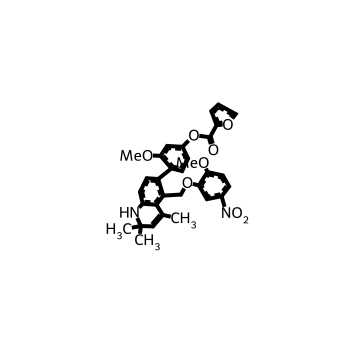 COc1ccc([N+](=O)[O-])cc1OCc1c(-c2ccc(OC(=O)c3ccco3)cc2OC)ccc2c1C(C)=CC(C)(C)N2